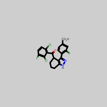 O=C(O)c1ccc(-c2n[nH]c3c2C(C(=O)c2c(Cl)ccc(F)c2Cl)CCC3)c(F)c1